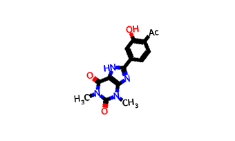 CC(=O)c1ccc(-c2nc3c([nH]2)c(=O)n(C)c(=O)n3C)cc1O